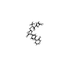 CC(C)(C)N(C[C@H]1CN(c2ccc(N3CCOCC3=O)cc2)C(=O)O1)C(=O)c1ccc(Cl)s1